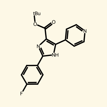 CC(C)(C)OC(=O)c1nc(-c2ccc(F)cc2)[nH]c1-c1ccncc1